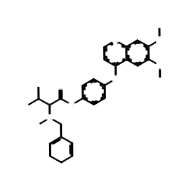 COc1cc2nccc(Oc3ccc(NC(=O)C(C(C)C)N(C)CC4=CCCC=C4)cc3)c2cc1OC